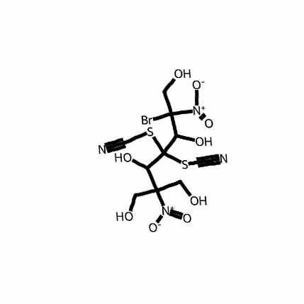 N#CSC(SC#N)(C(O)C(Br)(CO)[N+](=O)[O-])C(O)C(CO)(CO)[N+](=O)[O-]